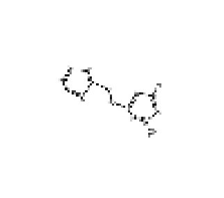 Cc1cc(O)cc(OCc2ccccc2)c1